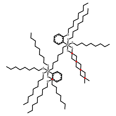 CCCCCCCCSc1ccccc1S(CCCCCCS(SCCCCCCCC)(SCCCCCCCC)(SCCCCCCCC)(SCCCCCCCC)c1ccccc1SCCCCCCCC)(SCCCCCCCC)(SCCCCCCCC)(SCCCCCCCC)SCCCCCCCC